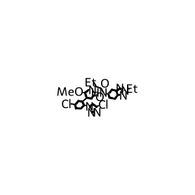 CCC(C(=O)Nc1ccc2nn(CC)nc2c1)n1cc(OC)c(-c2cc(Cl)ccc2-n2cc(Cl)nn2)cc1=O